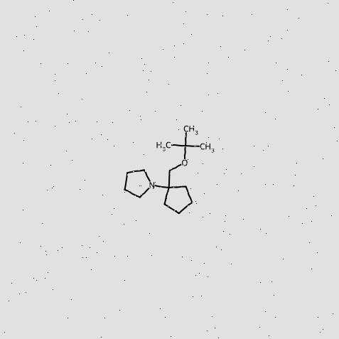 CC(C)(C)OCC1(N2CCCC2)CCCC1